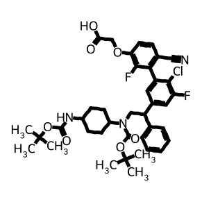 CC(C)(C)OC(=O)NC1CCC(N(CC(c2ccccc2)c2cc(F)c(Cl)c(-c3c(C#N)ccc(OCC(=O)O)c3F)c2)C(=O)OC(C)(C)C)CC1